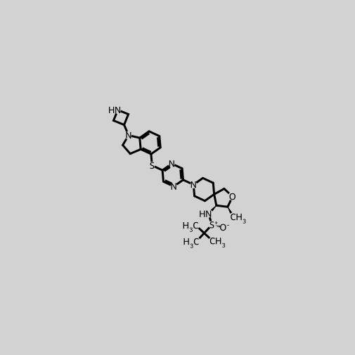 C[C@@H]1OCC2(CCN(c3cnc(Sc4cccc5c4CCN5C4CNC4)cn3)CC2)[C@@H]1N[S@+]([O-])C(C)(C)C